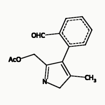 CC(=O)OCC1=NCC(C)=C1c1ccccc1C=O